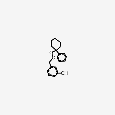 Oc1cccc(COOC2(c3ccccc3)CCCCC2)c1